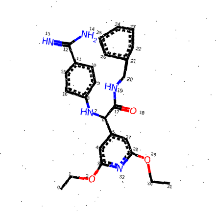 CCOc1cc(C(Nc2ccc(C(=N)N)cc2)C(=O)NCc2ccccc2)cc(OCC)n1